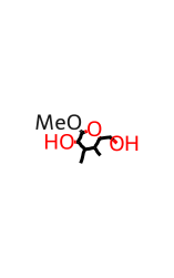 COC1OC(CO)C(C)C(C)C1O